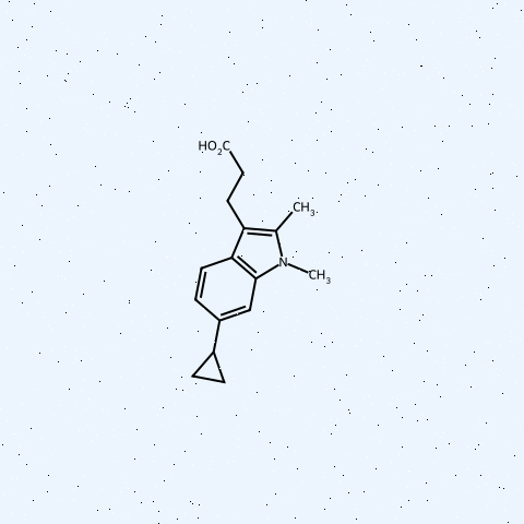 Cc1c(CCC(=O)O)c2ccc(C3CC3)cc2n1C